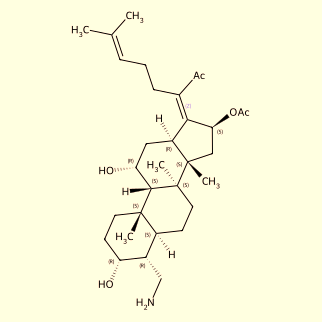 CC(=O)O[C@H]1C[C@@]2(C)[C@@H](C[C@@H](O)[C@H]3[C@@]4(C)CC[C@@H](O)[C@@H](CN)[C@@H]4CC[C@@]32C)/C1=C(\CCC=C(C)C)C(C)=O